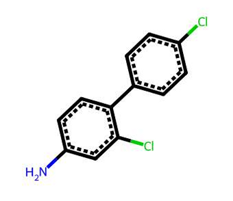 Nc1ccc(-c2ccc(Cl)cc2)c(Cl)c1